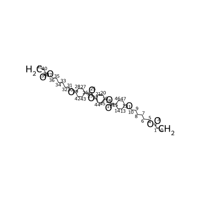 C=CC(=O)OCCCCCCOC1CCC(C(=O)Oc2ccc(OC(=O)C3CCC(OCCCCCCOC(=O)C=C)CC3)cc2)CC1